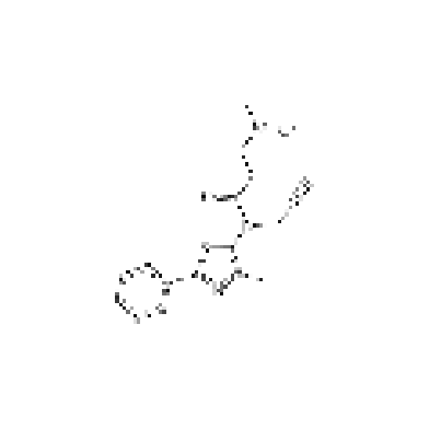 C#CCN(C(=O)CC[S+](C)[O-])c1sc(-c2cccnc2)nc1C